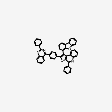 c1ccc(-c2nc(-c3ccc(-c4oc5c(-c6ccccc6)nc6ccccc6c5c4-c4cccc5c4oc4ccccc45)cc3)c3ccccc3n2)cc1